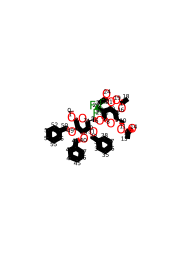 CO[C@H]1O[C@H](COC2O[C@H](COC(C)=O)[C@@H](OC(C)=O)[C@H](OC(C)=O)[C@@H]2C(F)(F)F)[C@@H](OCc2ccccc2)C(OCc2ccccc2)[C@H]1OCc1ccccc1